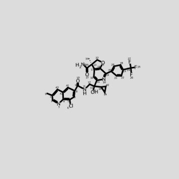 Cc1cnc2c(Cl)cc(C(=O)NCC(O)(c3cc4c(c(-c5ccc(C(F)(F)F)cc5)n3)OC[C@]4(C)C(N)=O)C3CC3)cc2c1